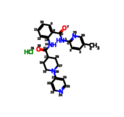 Cc1ccc(NC(=O)c2ccccc2NC(=O)C2CCN(c3ccncc3)CC2)nc1.Cl